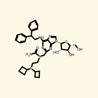 NC(=O)N(CCN(C1CCC1)C1CCC1)Cc1nc(NCC(c2ccccc2)c2ccccc2)c2ncn([C@@H]3O[C@H](CO)[C@@H](O)[C@@H]3O)c2n1